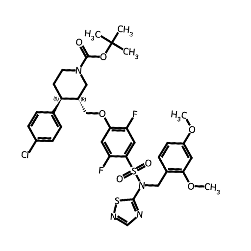 COc1ccc(CN(c2ncns2)S(=O)(=O)c2cc(F)c(OC[C@H]3CN(C(=O)OC(C)(C)C)CC[C@@H]3c3ccc(Cl)cc3)cc2F)c(OC)c1